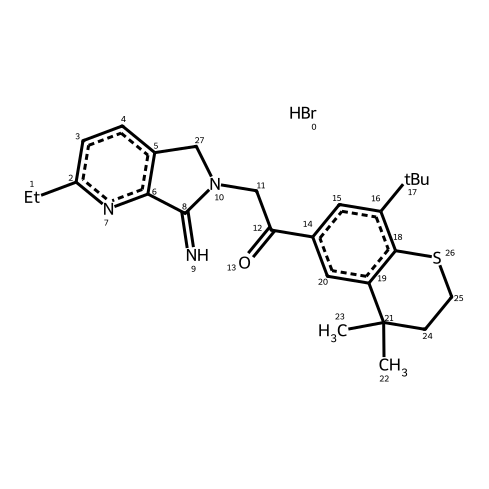 Br.CCc1ccc2c(n1)C(=N)N(CC(=O)c1cc(C(C)(C)C)c3c(c1)C(C)(C)CCS3)C2